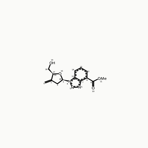 C=C1C[C@H](n2nnc3c(C(=O)OC)cccc32)O[C@@H]1CO